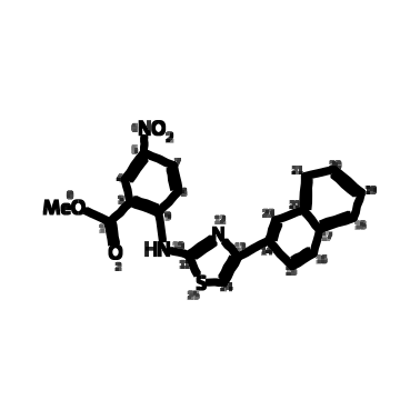 COC(=O)c1cc([N+](=O)[O-])ccc1Nc1nc(-c2ccc3ccccc3c2)cs1